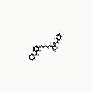 Cc1ccc(CNc2nsnc2NCCCOc2cccc(CN3CCCCC3)c2)cn1